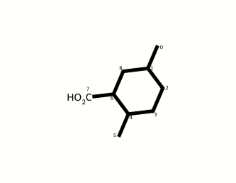 CC1CCC(C)C(C(=O)O)C1